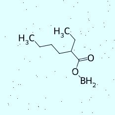 BOC(=O)C(CC)CCCC